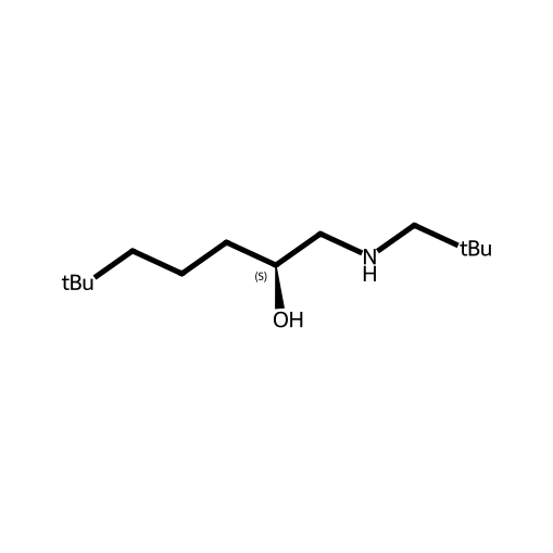 CC(C)(C)CCC[C@H](O)CNCC(C)(C)C